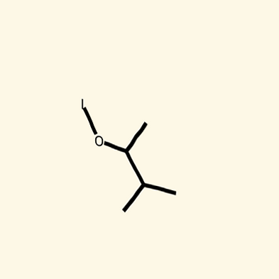 CC(C)C(C)OI